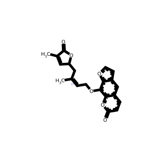 CC1=CC(C/C(C)=C\COc2c3occc3cc3ccc(=O)oc23)OC1=O